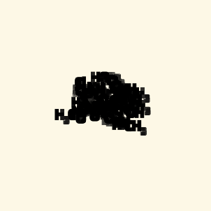 CNCCCC[C@H](NC(=O)[C@@H](Cc1ccc(C(N)=O)cc1)NC(=O)[C@H](Cc1ccc(O)cc1)NC(=O)[C@@H](CSC(=O)NC)NC(=O)CCc1ccc(Cl)cc1)C(=O)NC(C(=O)N[C@@H](C)C(=O)N[C@H](Cc1ccc(O)cc1)C(N)=O)C(C)O